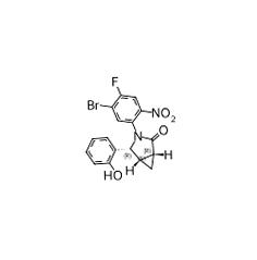 O=C1[C@@H]2C[C@@H]2[C@H](c2ccccc2O)N1c1cc(Br)c(F)cc1[N+](=O)[O-]